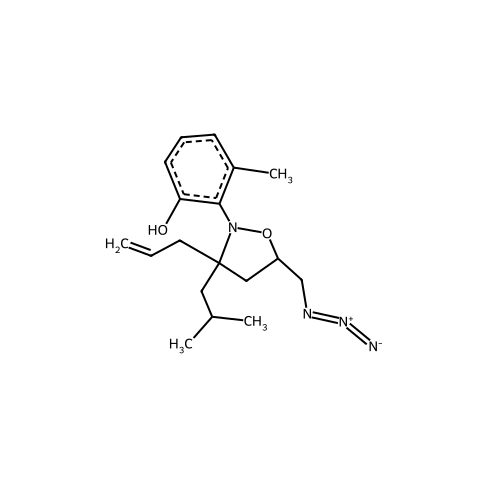 C=CCC1(CC(C)C)CC(CN=[N+]=[N-])ON1c1c(C)cccc1O